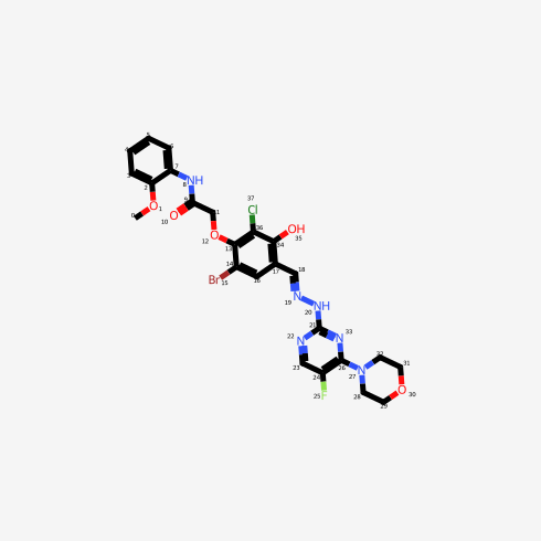 COc1ccccc1NC(=O)COc1c(Br)cc(/C=N/Nc2ncc(F)c(N3CCOCC3)n2)c(O)c1Cl